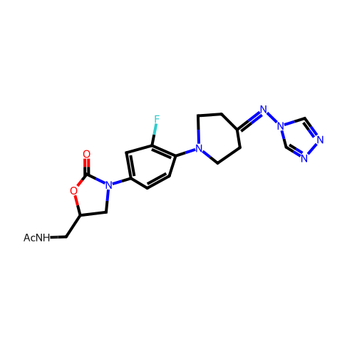 CC(=O)NCC1CN(c2ccc(N3CCC(=Nn4cnnc4)CC3)c(F)c2)C(=O)O1